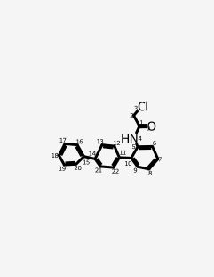 O=C(CCl)Nc1ccccc1-c1ccc(-c2ccccc2)cc1